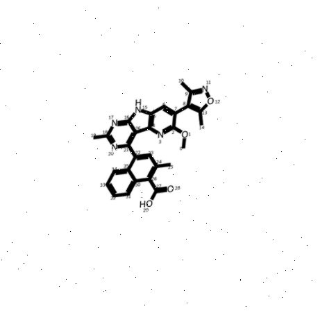 COc1nc2c(cc1-c1c(C)noc1C)[nH]c1nc(C)nc(-c3cc(C)c(C(=O)O)c4ccccc34)c12